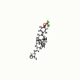 CCCC=C[C@@H]1CC[C@H]2[C@H](CC[C@H]3C[C@H](c4ccc(OC(F)F)cc4)CC[C@@H]32)C1